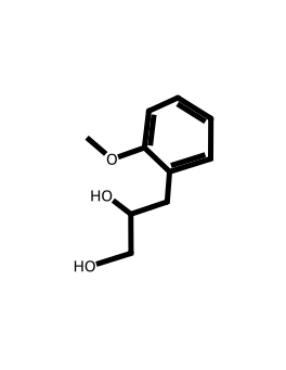 COc1ccccc1CC(O)CO